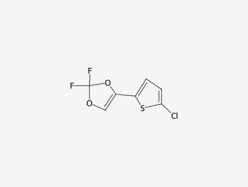 FC1(F)OC=C(c2ccc(Cl)s2)O1